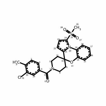 Cc1ccc(C(=O)N2CCC3(CC2)Oc2ccccc2-n2c3ccc2S(C)(=O)=O)cc1Cl